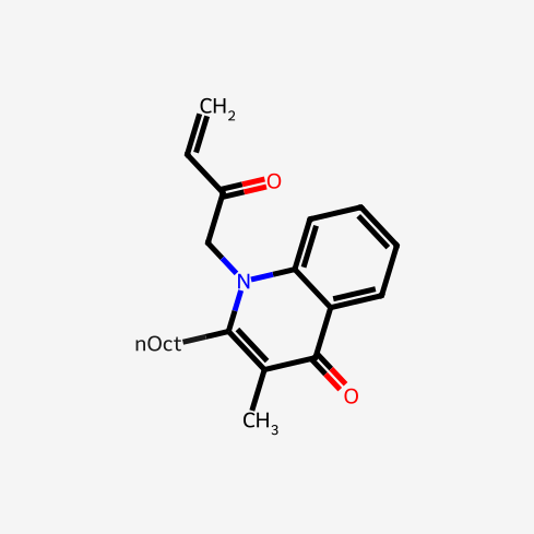 C=CC(=O)Cn1c(CCCCCCCC)c(C)c(=O)c2ccccc21